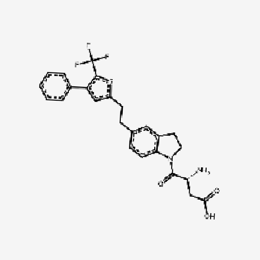 N[C@H](CC(=O)O)C(=O)N1CCc2cc(CCc3cc(-c4ccccc4)c(C(F)(F)F)s3)ccc21